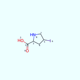 O=C(O)C1CC(I)CN1